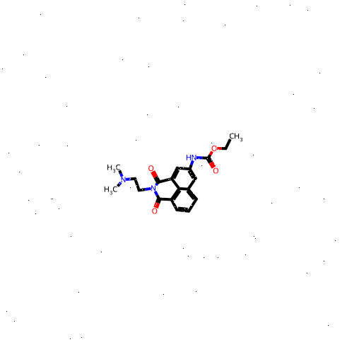 CCOC(=O)Nc1cc2c3c(cccc3c1)C(=O)N(CCN(C)C)C2=O